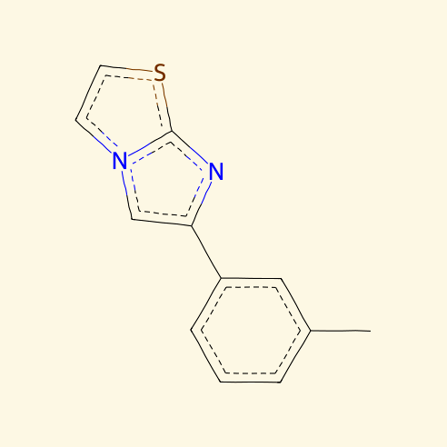 Cc1cccc(-c2cn3ccsc3n2)c1